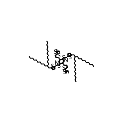 CCCCCCCCCCCCC(CCCCCCCCCC)Cc1ccc(-c2nc3c(-c4cc[c]([Sn]([CH3])([CH3])[CH3])s4)c4sc(-c5ccc(CC(CCCCCCCCCC)CCCCCCCCCCCC)s5)nc4c(-c4cc[c]([Sn]([CH3])([CH3])[CH3])s4)c3s2)s1